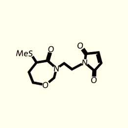 CSC1CCOCN(CCN2C(=O)C=CC2=O)C1=O